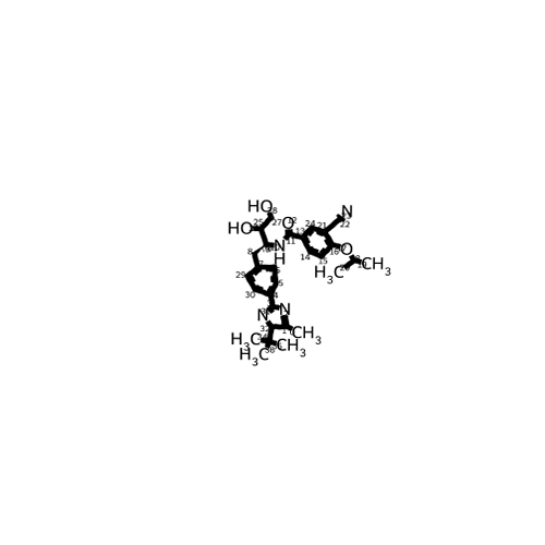 CC1=NC(c2ccc(C[C@H](NC(=O)c3ccc(OC(C)C)c(C#N)c3)C(O)CO)cc2)=NC1C(C)(C)C